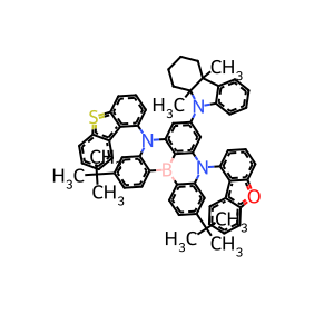 CC(C)(C)c1ccc2c(c1)N(c1cccc3oc4ccccc4c13)c1cc(N3c4ccccc4C4(C)CCCCC34C)cc3c1B2c1ccc(C(C)(C)C)cc1N3c1cccc2sc3ccccc3c12